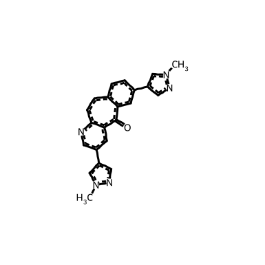 Cn1cc(-c2ccc3ccc4ncc(-c5cnn(C)c5)cc4c(=O)c3c2)cn1